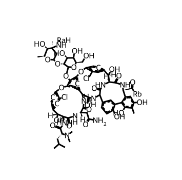 Cc1c(O)cc2c(c1O)-c1cc(ccc1O)C1NC(=O)[C@@H]3NC(=O)[C@H](CC(N)=O)NC(=O)[C@H](NC(=O)[C@@H](CC(C)C)N(C)C)[C@H](O)c4ccc(c(Cl)c4)Oc4cc3cc(c4OC3O[C@H](CO)C(O)[C@H](O)[C@H]3OC3C[C@](C)([NH][RaH])[C@H](O)[C@H](C)O3)Oc3ccc(cc3Cl)[C@@H](O)[C@H](NC1=O)C(=O)N[C@H]2[C](=O)[Rb]